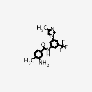 Cc1cn(-c2cc(NC(=O)c3ccc(C)c(N)c3)cc(C(F)(F)F)c2)cn1